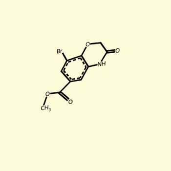 COC(=O)c1cc(Br)c2c(c1)NC(=O)CO2